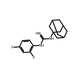 N=C(Nc1ccc(F)cc1F)NC12CC3CC(CC(C3)C1)C2